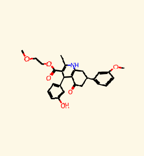 COCCOC(=O)C1=C(C)NC2=C(C(=O)CC(c3cccc(OC)c3)C2)C1c1cccc(O)c1